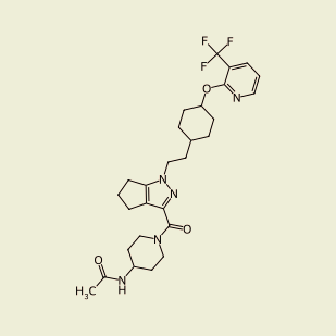 CC(=O)NC1CCN(C(=O)c2nn(CCC3CCC(Oc4ncccc4C(F)(F)F)CC3)c3c2CCC3)CC1